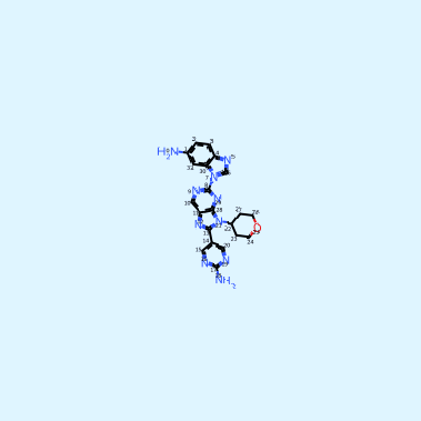 Nc1ccc2ncn(-c3ncc4nc(-c5cnc(N)nc5)n(C5CCOCC5)c4n3)c2c1